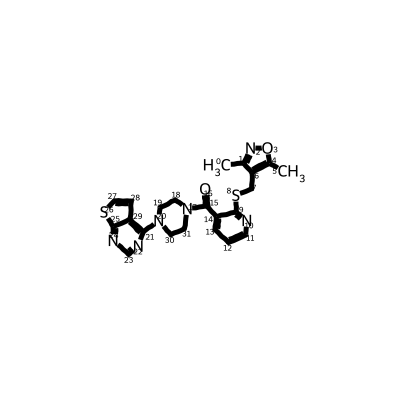 Cc1noc(C)c1CSc1ncccc1C(=O)N1CCN(c2ncnc3sccc23)CC1